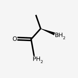 B[C@H](C)C(=O)P